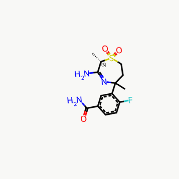 C[C@H]1C(N)=NC(C)(c2cc(C(N)=O)ccc2F)CCS1(=O)=O